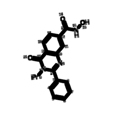 CC(C)n1c(-c2ccccc2)nc2cc(C(=O)NO)ccc2c1=O